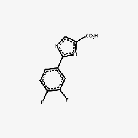 O=C(O)c1cnc(-c2ccc(F)c(F)c2)o1